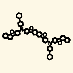 c1ccc2c(c1)ccc1c3ccc(N(c4ccc(C5CCCCC5)cc4)c4ccc5c(c4)oc4cc6cc7oc8cc(N(c9ccc(C%10CCCCC%10)cc9)c9ccc%10c(c9)oc9c%11ccccc%11ccc%109)ccc8c7cc6cc45)cc3oc21